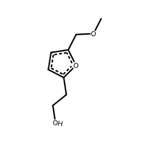 COCc1ccc(CCO)o1